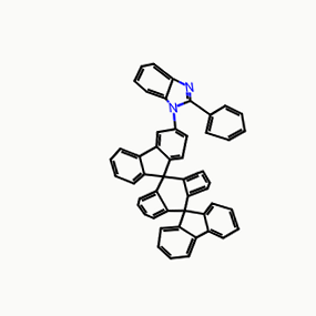 c1ccc(-c2nc3ccccc3n2-c2ccc3c(c2)-c2ccccc2C32c3ccccc3C3(c4ccccc4-c4ccccc43)c3ccccc32)cc1